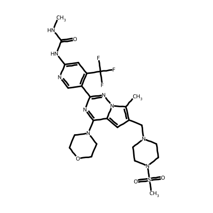 CNC(=O)Nc1cc(C(F)(F)F)c(-c2nc(N3CCOCC3)c3cc(CN4CCN(S(C)(=O)=O)CC4)c(C)n3n2)cn1